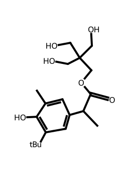 Cc1cc(C(C)C(=O)OCC(CO)(CO)CO)cc(C(C)(C)C)c1O